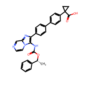 C[C@@H](OC(=O)Nc1c(-c2ccc(-c3ccc(C4(C(=O)O)CC4)cc3)cc2)nc2cnccn12)c1ccccc1